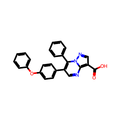 O=C(O)c1cnn2c(-c3ccccc3)c(-c3ccc(Oc4ccccc4)cc3)cnc12